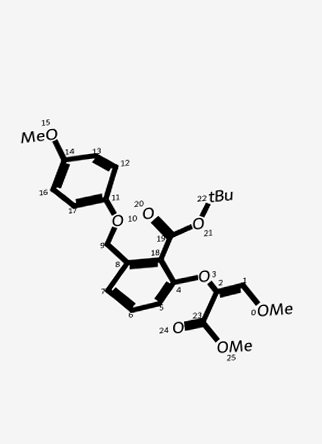 CO/C=C(/Oc1cccc(COc2ccc(OC)cc2)c1C(=O)OC(C)(C)C)C(=O)OC